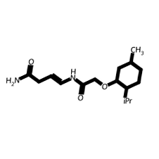 CC1CCC(C(C)C)C(OCC(=O)NC=CCC(N)=O)C1